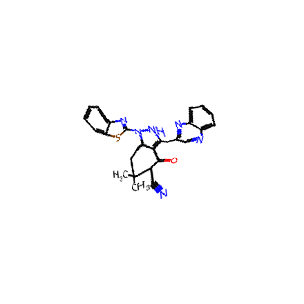 CC1(C)CC2C(=C(c3cnc4ccccc4n3)NN2c2nc3ccccc3s2)C(=O)C1C#N